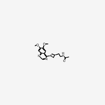 COc1cc2ncnc(N3CC(CCNC(C)=O)C3)c2cc1OC